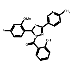 COc1cc(F)ccc1C1SC(c2ccc(C)nc2)=NN1C(=O)c1ccccc1O